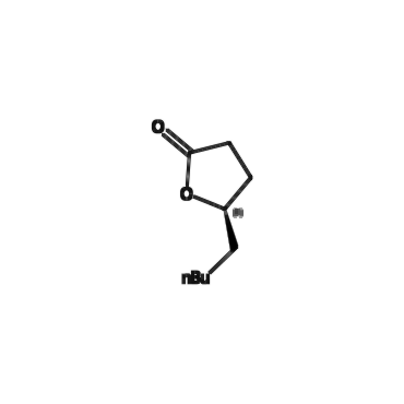 CCCCC[C@@H]1CCC(=O)O1